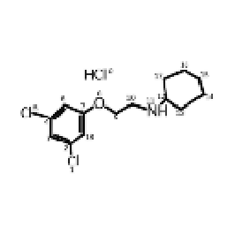 Cl.Clc1cc(Cl)cc(OCCNC2CCCCC2)c1